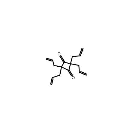 C=CCC1(CC=C)C(=O)C(CC=C)(CC=C)C1=O